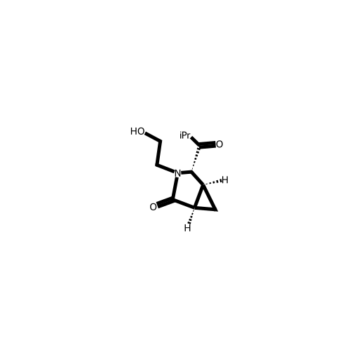 CC(C)C(=O)[C@@H]1[C@H]2C[C@H]2C(=O)N1CCO